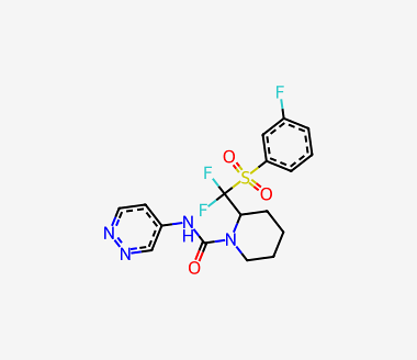 O=C(Nc1ccnnc1)N1CCCCC1C(F)(F)S(=O)(=O)c1cccc(F)c1